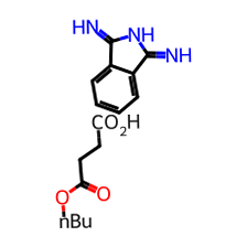 CCCCOC(=O)CCC(=O)O.N=C1NC(=N)c2ccccc21